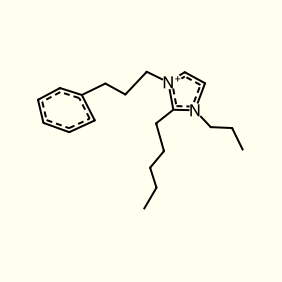 CCCCCc1n(CCC)cc[n+]1CCCc1ccccc1